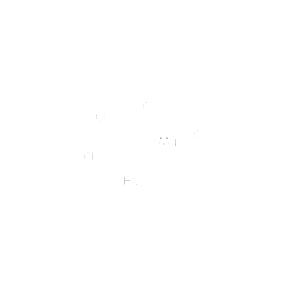 Cl.[Cl][Mg][c]1ccc(Cl)c(Cl)c1Cl